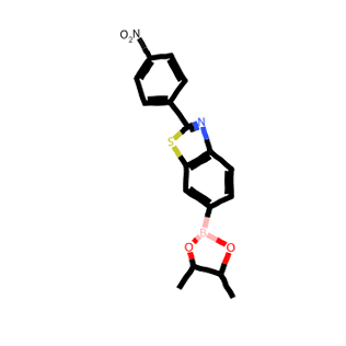 CC1OB(c2ccc3nc(-c4ccc([N+](=O)[O-])cc4)sc3c2)OC1C